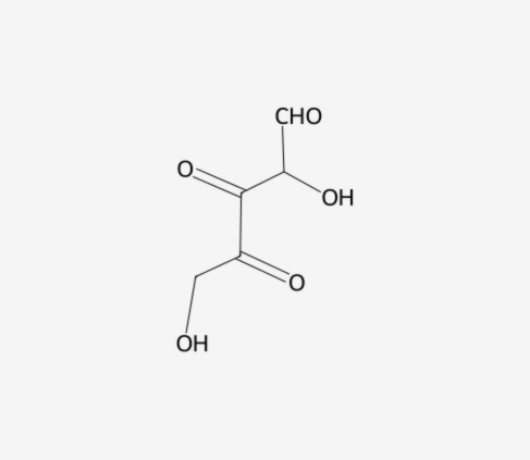 O=CC(O)C(=O)C(=O)CO